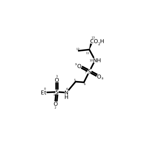 CCS(=O)(=O)NCCS(=O)(=O)N[C@@H](C)C(=O)O